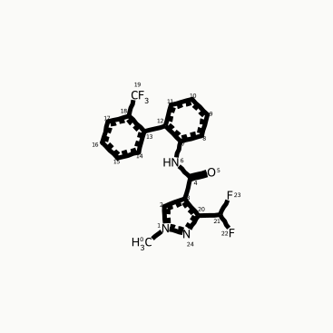 Cn1cc(C(=O)Nc2ccccc2-c2ccccc2C(F)(F)F)c(C(F)F)n1